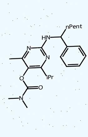 CCCCCC(Nc1nc(C)c(OC(=O)N(C)C)c(C(C)C)n1)c1ccccc1